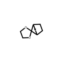 C1COC2(O1)C1CCC2OC1